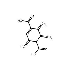 C=C1C(=C)C(C(=O)O)C(=C)C=C1C(=O)O